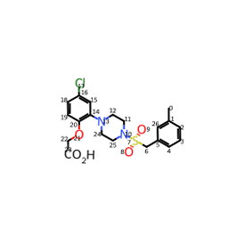 Cc1cccc(CS(=O)(=O)N2CCN(c3cc(Cl)ccc3OCC(=O)O)CC2)c1